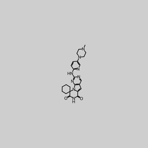 CN1CCN(c2ccc(Nc3ncc4cc5n(c4n3)C3(CCCCC3)C(=O)NC5=O)nc2)CC1